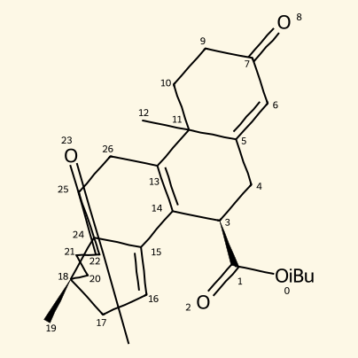 CC(C)COC(=O)[C@@H]1CC2=CC(=O)CCC2(C)C2=C1C1=CC[C@@]3(C)CCC(=O)C13CC2